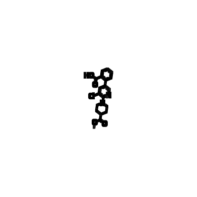 COC(=O)C1CCN(c2ncc(-c3ccccc3C(=O)O)cc2Cl)CC1